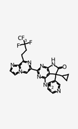 Nc1nc(-c2cn3ccnc3c(CCC(F)(F)C(F)(F)F)n2)nc2c1C(c1cccnc1)(C1CC1)C(=O)N2